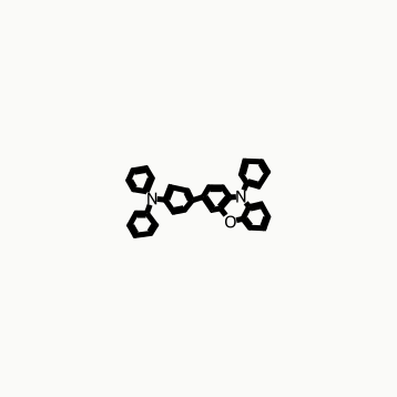 c1ccc(N(c2ccccc2)c2ccc(-c3ccc4c(c3)Oc3ccccc3N4c3ccccc3)cc2)cc1